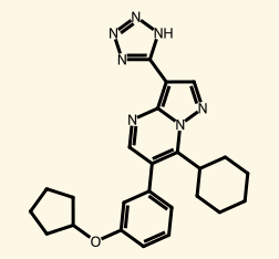 c1cc(OC2CCCC2)cc(-c2cnc3c(-c4nnn[nH]4)cnn3c2C2CCCCC2)c1